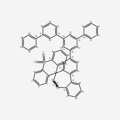 O=S1(=O)c2ccccc2C2(c3ccccc3-c3ccccc3-c3ccc(-c4nc(-c5ccccc5)nc(-c5cccc(-c6ccccc6)c5)n4)cc32)c2ccccc21